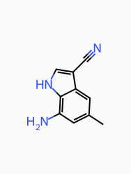 Cc1cc(N)c2[nH]cc(C#N)c2c1